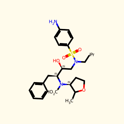 CC(C)CN(C[C@H](O)[C@H](Cc1ccccc1)N(C(=O)O)[C@H]1CCOC1C)S(=O)(=O)c1ccc(N)cc1